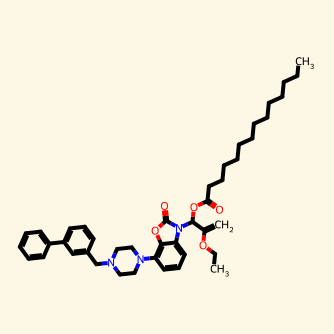 C=C(OCC)C(OC(=O)CCCCCCCCCCCCC)n1c(=O)oc2c(N3CCN(Cc4cccc(-c5ccccc5)c4)CC3)cccc21